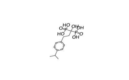 CC(C)c1ccc(CCC(O)(P(=O)(O)O)P(=O)(O)O)cc1